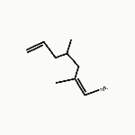 [CH2]CCC=C(C)CC(C)CC=C